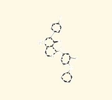 O=c1c(-c2ccc(F)cc2)c[nH]c2ccnc(Nc3ccc(Oc4ccccc4)c(F)c3)c12